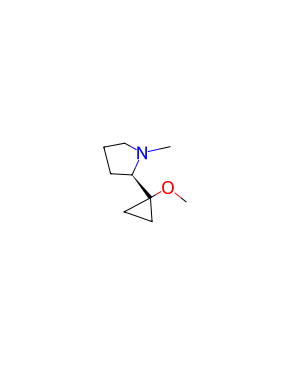 COC1([C@H]2CCCN2C)CC1